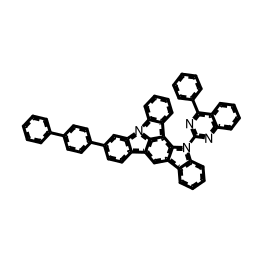 c1ccc(-c2ccc(-c3ccc4c5cc6c7ccccc7n(-c7nc(-c8ccccc8)c8ccccc8n7)c6c6c7ccccc7n(c4c3)c56)cc2)cc1